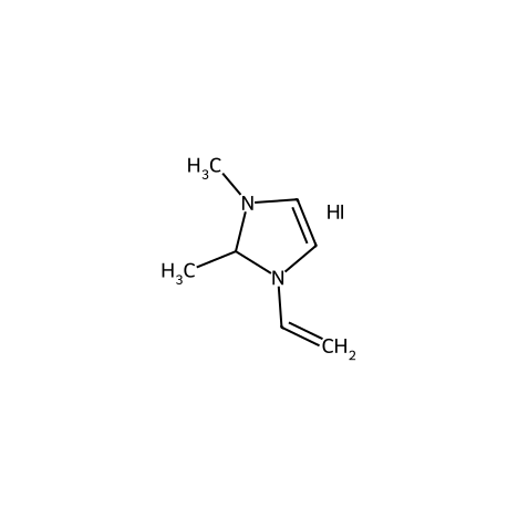 C=CN1C=CN(C)C1C.I